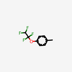 Cc1ccc(OC(F)(F)C(F)F)cc1